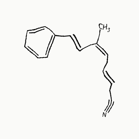 CC(=C/C=C/C#N)/C=C/c1ccccc1